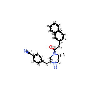 C[C@@H]1CN[C@@H](Cc2ccc(C#N)cc2)CN1C(=O)Cc1ccc2ccccc2c1